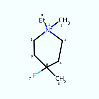 CC[N+]1(C)CCC(C)(F)CC1